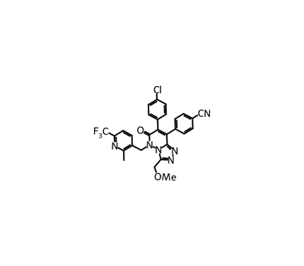 COCc1nnc2c(-c3ccc(C#N)cc3)c(-c3ccc(Cl)cc3)c(=O)n(Cc3ccc(C(F)(F)F)nc3C)n12